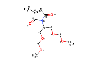 COCOCC(COCOC)N1C(=O)C=C(C)C1=O